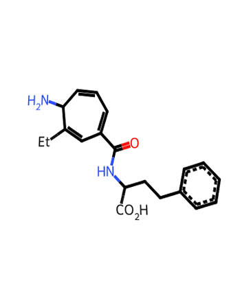 CCC1=CC(C(=O)NC(CCc2ccccc2)C(=O)O)=CC=CC1N